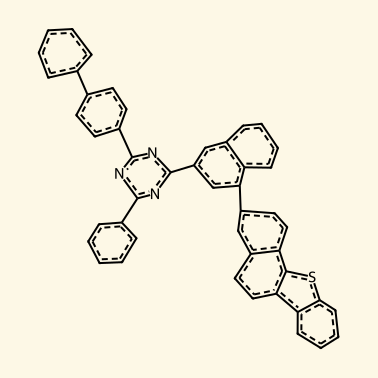 c1ccc(-c2ccc(-c3nc(-c4ccccc4)nc(-c4cc(-c5ccc6c(ccc7c8ccccc8sc67)c5)c5ccccc5c4)n3)cc2)cc1